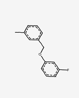 Cc1cccc(COc2cc[c]c(F)c2)c1